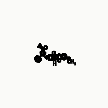 COc1ccc(CN2C(=O)NC3(CCN(C[C@H]4CN(C(=O)C5CC5)C[C@@H]4c4ccccc4)CC3)C2=O)cc1